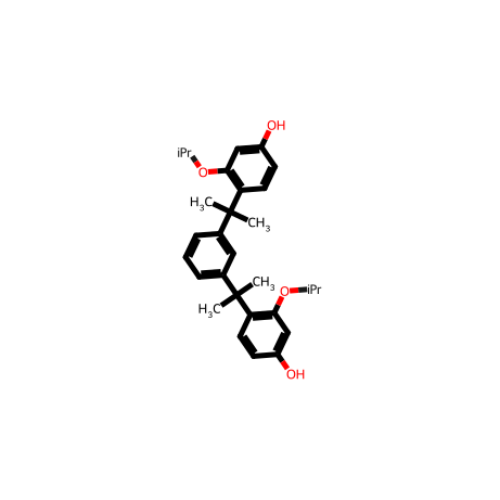 CC(C)Oc1cc(O)ccc1C(C)(C)c1cccc(C(C)(C)c2ccc(O)cc2OC(C)C)c1